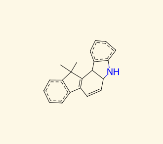 CC1(C)C2=C(C=CC3Nc4ccccc4C23)c2ccccc21